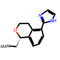 CNC[C@@H]1OCCc2c(-c3ncc[nH]3)cccc21